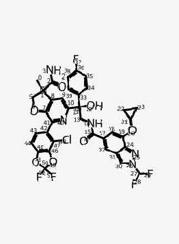 C[C@]1(C(N)=O)COc2c1cc([C@@](O)(CNC(=O)c1cc(OC3CC3)c3nn(C(F)F)cc3c1)c1ccc(F)cc1)nc2-c1ccc2c(c1Cl)OC(F)(F)O2